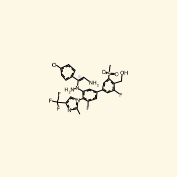 Cc1nc(C(F)(F)F)cn1-c1c(F)cc(-c2cc(F)c(CO)c(S(C)(=O)=O)c2)cc1N(N)/C(=C\N)c1ccc(Cl)cc1